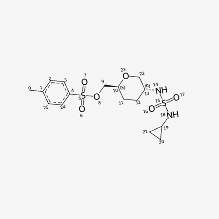 Cc1ccc(S(=O)(=O)OC[C@@H]2CC[C@@H](NS(=O)(=O)NC3CC3)CO2)cc1